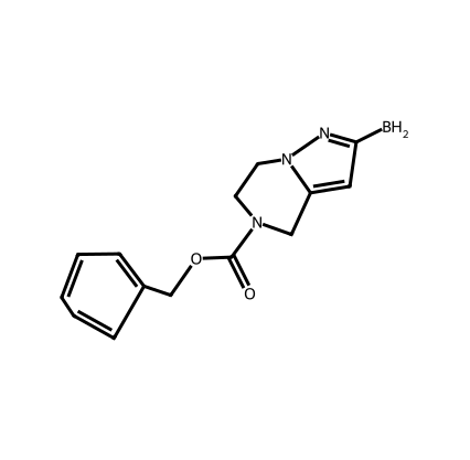 Bc1cc2n(n1)CCN(C(=O)OCc1ccccc1)C2